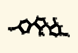 Nc1ccc(-c2nnn(-c3ccc(C(F)(F)F)cc3F)c2N)cc1